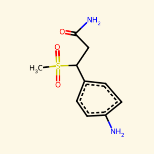 CS(=O)(=O)C(CC(N)=O)c1ccc(N)cc1